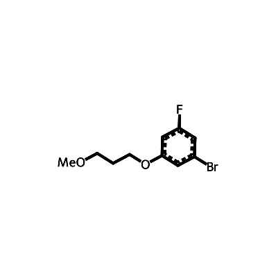 COCCCOc1cc(F)cc(Br)c1